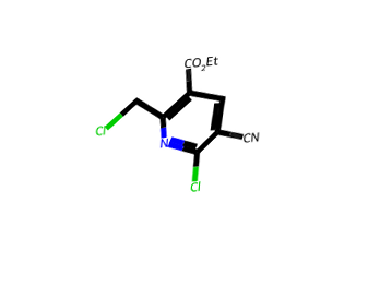 CCOC(=O)c1cc(C#N)c(Cl)nc1CCl